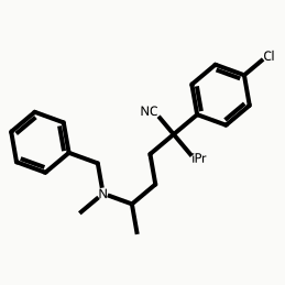 CC(CCC(C#N)(c1ccc(Cl)cc1)C(C)C)N(C)Cc1ccccc1